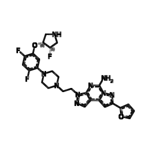 Nc1nc2c(cnn2CCN2CCN(c3cc(O[C@@H]4CNC[C@@H]4F)c(F)cc3F)CC2)c2cc(-c3ccco3)nn12